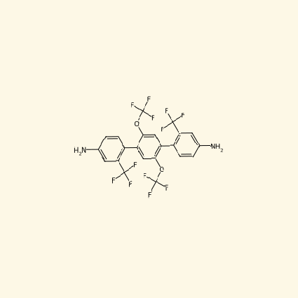 Nc1ccc(-c2cc(OC(F)(F)F)c(-c3ccc(N)cc3C(F)(F)F)cc2OC(F)(F)F)c(C(F)(F)F)c1